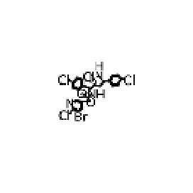 O=S(=O)(NC(C1=NNC(c2ccc(Cl)cc2)C1)c1ccc(Cl)cc1Cl)c1cnc(Cl)c(Br)c1